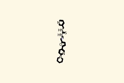 S=C(NCc1cccnc1)N/N=C/c1ccc(-c2ccc(N3CCCCC3)nc2)o1